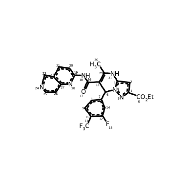 CCOC(=O)c1cc2n(n1)C(c1ccc(C(F)(F)F)c(F)c1)C(C(=O)Nc1ccc3cnccc3n1)=C(C)N2